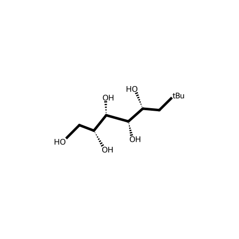 CC(C)(C)C[C@@H](O)[C@H](O)[C@@H](O)[C@H](O)CO